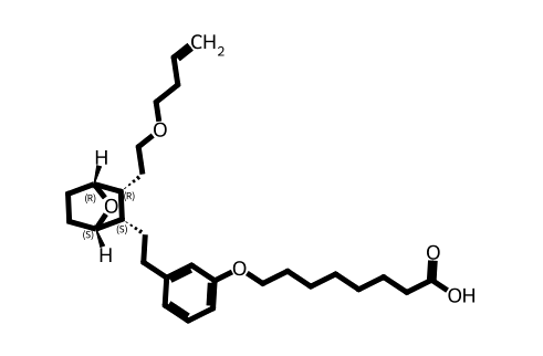 C=CCCOCC[C@@H]1[C@H](CCc2cccc(OCCCCCCCC(=O)O)c2)[C@@H]2CC[C@H]1O2